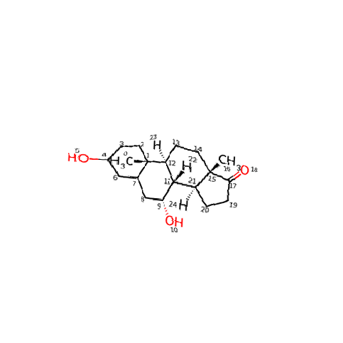 C[C@]12CCC(O)CC1C[C@@H](O)[C@@H]1[C@@H]2CC[C@]2(C)C(=O)CC[C@@H]12